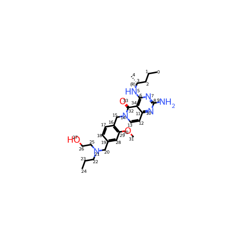 CCC[C@@H](C)Nc1nc(N)nc2ccn(Cc3ccc(CN(CCC)CCO)cc3OC)c(=O)c12